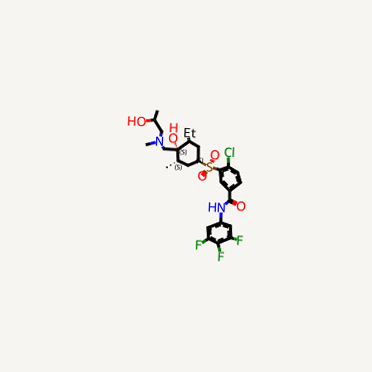 CCC1C[C@@H](S(=O)(=O)c2cc(C(=O)Nc3cc(F)c(F)c(F)c3)ccc2Cl)C[C@H](C)[C@@]1(O)CN(C)CC(C)O